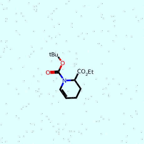 CCOC(=O)C1CCC=CN1C(=O)OC(C)(C)C